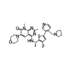 Cc1nc(N[C@H](C)c2sc(-c3cnccc3CN3CCCC3)cc2F)c2cc(N3CCOCC3)c(=O)n(C)c2n1